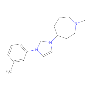 CN1CCCC(N2C=CN(c3cccc(C(F)(F)F)c3)C2)CC1